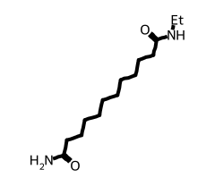 CCNC(=O)CCCCCCCCCCC(N)=O